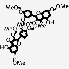 COCOc1cc(O)c2c(=O)c(OCOC)c(-c3ccc(OCOC)c(OCOc4cc(-c5oc6cc(OCOC)cc(O)c6c(=O)c5OCOC)ccc4OCOC)c3)oc2c1